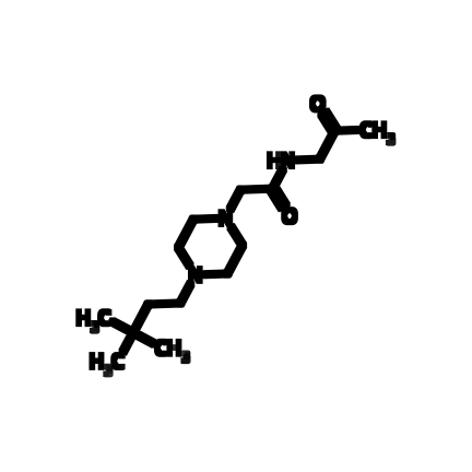 CC(=O)CNC(=O)CN1CCN(CCC(C)(C)C)CC1